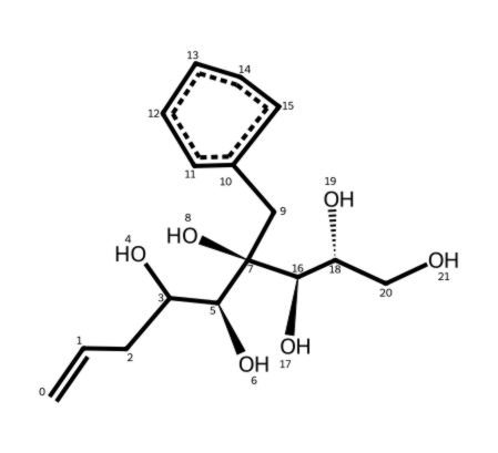 C=CCC(O)[C@H](O)[C@](O)(Cc1ccccc1)[C@H](O)[C@H](O)CO